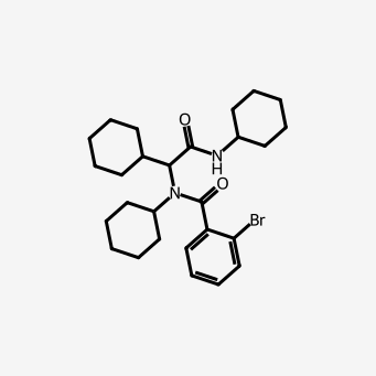 O=C(NC1CCCCC1)C(C1CCCCC1)N(C(=O)c1ccccc1Br)C1CCCCC1